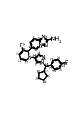 Nc1nc2ccc(C3C(F)=CC=CN3c3cnn(C(c4ccc(F)cc4)C4CCCC4)c3)cn2n1